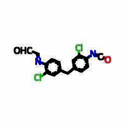 O=C=Nc1ccc(Cc2ccc(N=CC=O)c(Cl)c2)cc1Cl